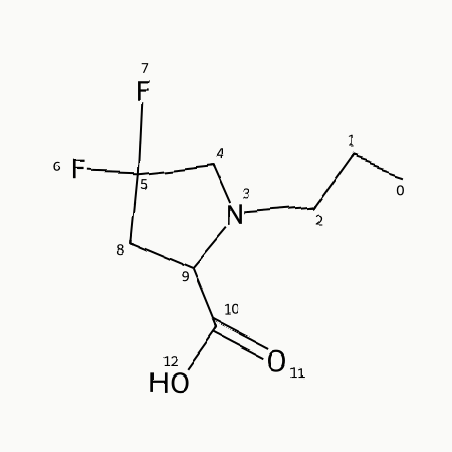 CCCN1CC(F)(F)CC1C(=O)O